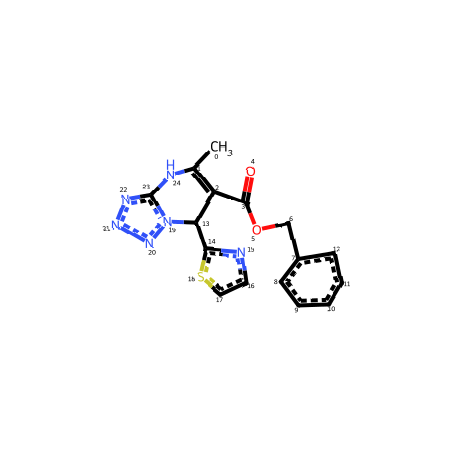 CC1=C(C(=O)OCc2ccccc2)C(c2nccs2)n2nnnc2N1